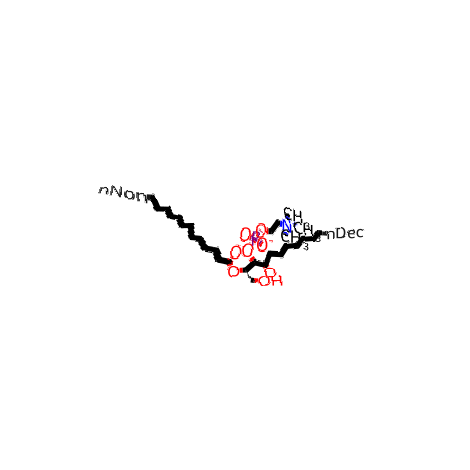 CCCCCCCCCC=CC=CC=CC=CC=CC=CC(=O)O[C@@H](CO)C(OP(=O)([O-])OCC[N+](C)(C)C)C(=O)CCCCCCCCCCCCCCCCC